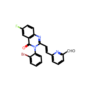 O=Cc1cccc(C=Cc2nc3ccc(F)cc3c(=O)n2-c2ccccc2Br)n1